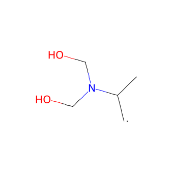 [CH2]C(C)N(CO)CO